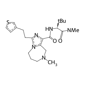 CNC(=O)[C@@H](NC(=O)c1nc(CCc2ccsc2)n2c1CN(C)CCC2)C(C)(C)C